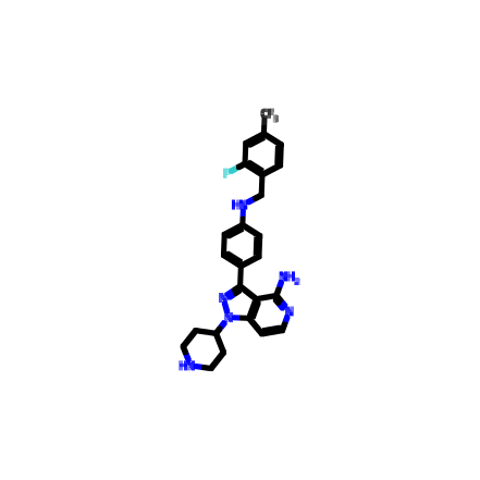 Nc1nccc2c1c(-c1ccc(NCc3ccc(C(F)(F)F)cc3F)cc1)nn2C1CCNCC1